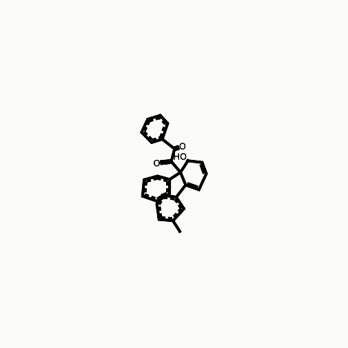 Cc1cccc(C2=CC=CC(O)C2(C(=O)C(=O)c2ccccc2)c2ccccc2)c1